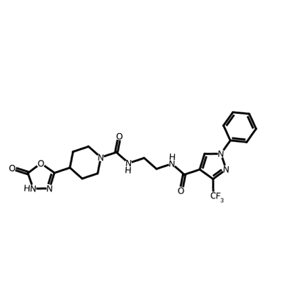 O=C(NCCNC(=O)N1CCC(c2n[nH]c(=O)o2)CC1)c1cn(-c2ccccc2)nc1C(F)(F)F